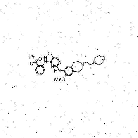 COc1cc2c(cc1Nc1ncc(Cl)c(Nc3ccccc3S(=O)(=O)C(C)C)n1)CCN(CCN1CCOCC1)CC2